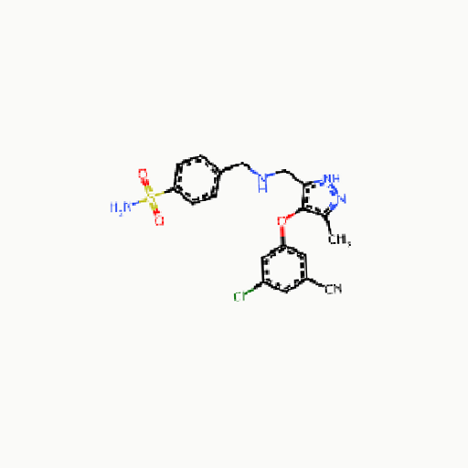 Cc1n[nH]c(CNCc2ccc(S(N)(=O)=O)cc2)c1Oc1cc(Cl)cc(C#N)c1